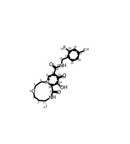 C[C@@H]1CCOCCn2cc(C(=O)NCc3ccc(F)cc3F)c(=O)c(O)c2C(=O)N1